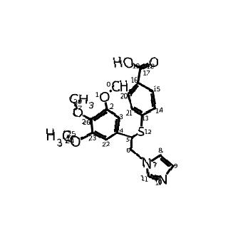 COc1cc(C(Cn2ccnc2)Sc2ccc(C(=O)O)cc2)cc(OC)c1OC